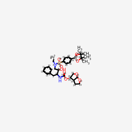 CC(C)CN(C[C@@H](O)C(Cc1ccccc1)NC(=O)O[C@H]1COC2OCCC21)S(=O)(=O)c1ccc(B2OC(C)(C)C(C)(C)O2)cc1